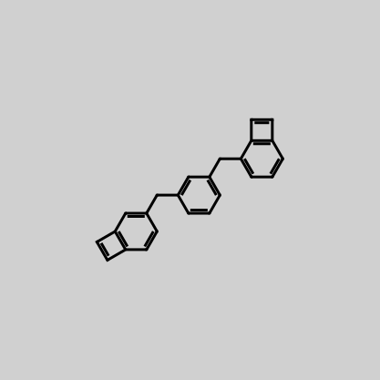 C1=Cc2cc(Cc3cccc(Cc4cccc5c4C=C5)c3)ccc21